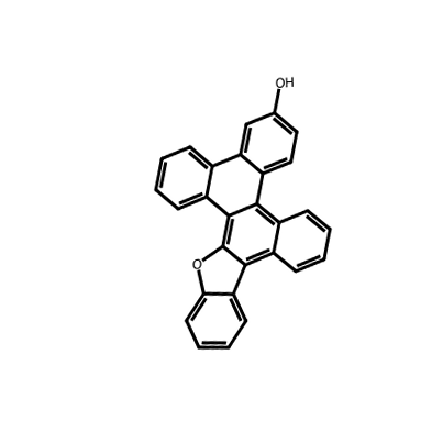 Oc1ccc2c(c1)c1ccccc1c1c3oc4ccccc4c3c3ccccc3c21